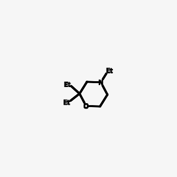 CCN1CCOC(CC)(CC)C1